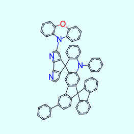 c1ccc(-c2ccc3c(c2)-c2cc4c(cc2C32c3ccccc3-c3ccccc32)N(c2ccccc2)c2ccccc2C42c3cccnc3-c3ncc(N4c5ccccc5Oc5ccccc54)cc32)cc1